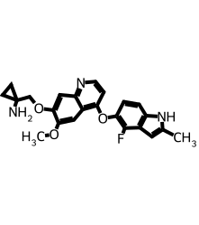 COc1cc2c(Oc3ccc4[nH]c(C)cc4c3F)ccnc2cc1OCC1(N)CC1